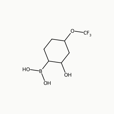 OB(O)C1CCC(OC(F)(F)F)CC1O